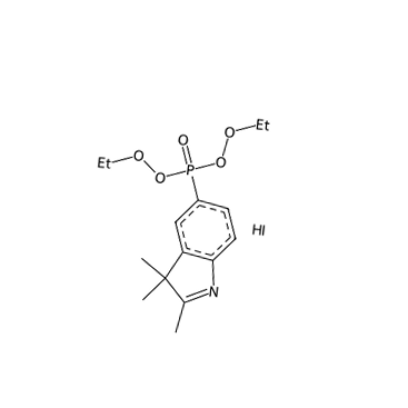 CCOOP(=O)(OOCC)c1ccc2c(c1)C(C)(C)C(C)=N2.I